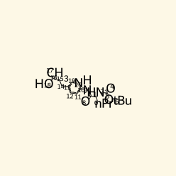 CCCC(NC(=O)OC(C)(C)C)C(=O)Nc1ccc(CCC(C)O)cn1